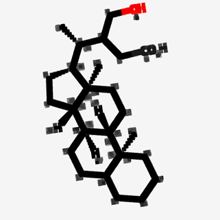 C[C@H](C(CO)CC(=O)O)[C@H]1CC[C@H]2[C@@H]3CCC4CCCC[C@]4(C)[C@H]3CC[C@]12C